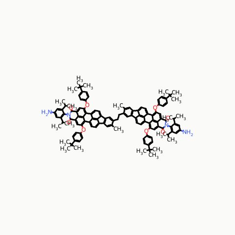 Cc1cc2c(cc1CCc1cc3c(cc1C)-c1ccc4c5c(Oc6ccc(C(C)(C)C)cc6)cc6c7c(cc(Oc8ccc(C(C)(C)C)cc8)c(c8ccc-3c1c48)c75)C(=O)N(c1c(C(C)C)cc(N)cc1C(C)C)C6=O)-c1ccc3c4c(Oc5ccc(C(C)(C)C)cc5)cc5c6c(cc(Oc7ccc(C(C)(C)C)cc7)c(c7ccc-2c1c73)c64)C(=O)N(c1c(C(C)C)cc(N)cc1C(C)C)C5=O